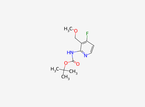 COCc1c(F)ccnc1NC(=O)OC(C)(C)C